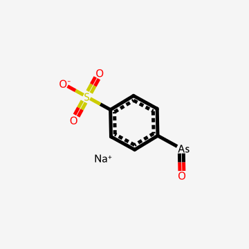 O=[As]c1ccc(S(=O)(=O)[O-])cc1.[Na+]